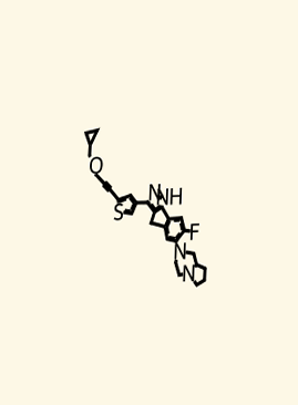 Fc1cc2c(cc1N1CCN3CCCC3C1)Cc1c(-c3csc(C#CCOCC4CC4)c3)n[nH]c1-2